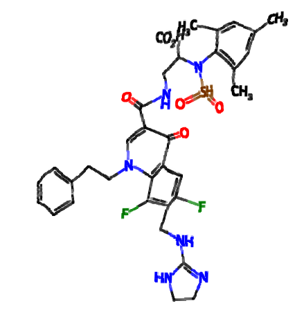 Cc1cc(C)c(N(C(CNC(=O)c2cn(CCc3ccccc3)c3c(F)c(CNC4=NCCN4)c(F)cc3c2=O)C(=O)O)[SH](=O)=O)c(C)c1